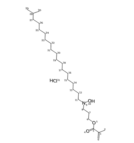 C=C(C)C(=O)OCCCN(O)CCCCCCCCCCCCCCCCCC(C)C.Cl